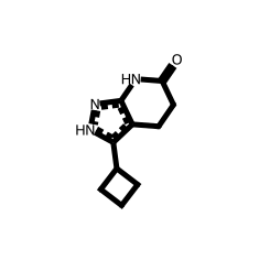 O=C1CCc2c(n[nH]c2C2CCC2)N1